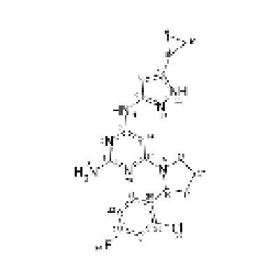 Nc1nc(Nc2cc(C3CC3)[nH]n2)cc(N2CCCC2c2ccc(F)cc2Cl)n1